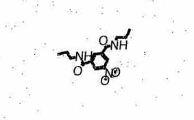 CCCNC(=O)c1cc(C(=O)NCCC)cc([N+](=O)[O-])c1